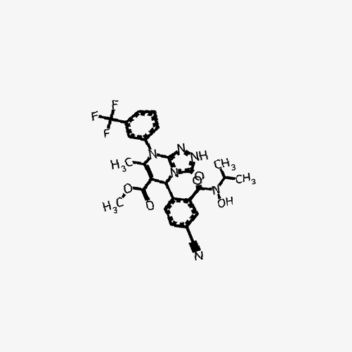 COC(=O)C1=C(C)N(c2cccc(C(F)(F)F)c2)c2n[nH]c(=O)n2C1c1ccc(C#N)cc1C(=O)N(O)C(C)C